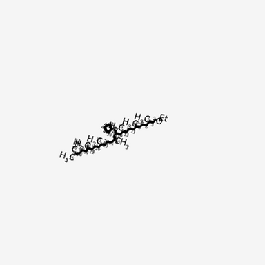 CCOC/C=C(\C)CC/C=C(\C)CC/C=C(\C)CC(/C=C(\C)CC/C=C(\C)CC/C=C(\C)CCC=C(C)C)Sc1ccccc1